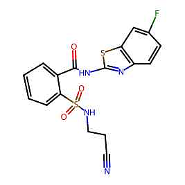 N#CCCNS(=O)(=O)c1ccccc1C(=O)Nc1nc2ccc(F)cc2s1